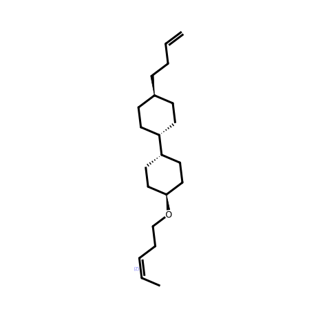 C=CCC[C@H]1CC[C@H]([C@H]2CC[C@H](OCC/C=C\C)CC2)CC1